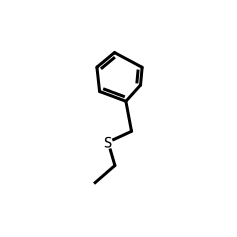 CCSCc1ccccc1